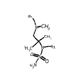 CCN(C(C)(C)CN(C)C(C)C)S(N)(=O)=O